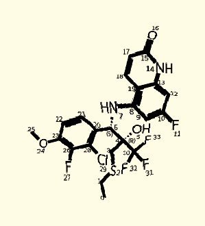 CCSC[C@@](O)([C@@H](Nc1cc(F)cc2[nH]c(=O)ccc12)c1ccc(OC)c(F)c1Cl)C(F)(F)F